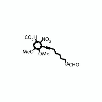 COc1cc(C(=O)O)c([N+](=O)[O-])c(C#CCCCCCOC=O)c1OC